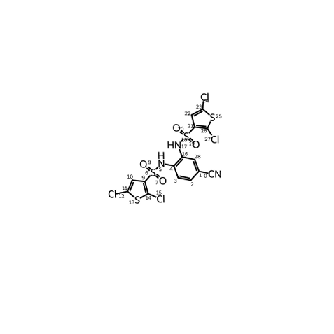 N#Cc1ccc(NS(=O)(=O)c2cc(Cl)sc2Cl)c(NS(=O)(=O)c2cc(Cl)sc2Cl)c1